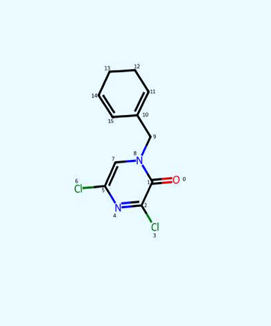 O=c1c(Cl)nc(Cl)cn1CC1=CCCC=C1